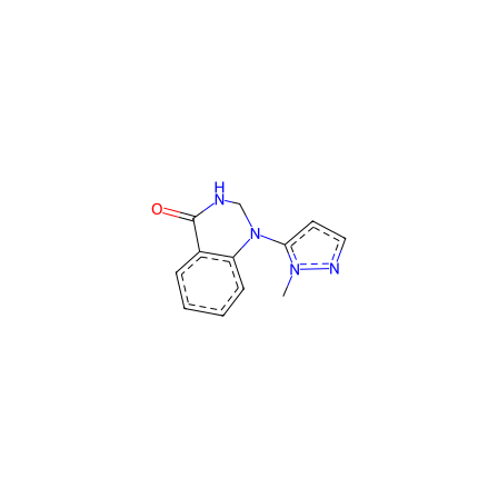 Cn1nccc1N1CNC(=O)c2ccccc21